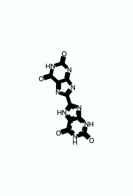 O=C1N=C2N=C(c3nc4[nH]c(=O)[nH]c(=O)c4[nH]3)N=C2C(=O)N1